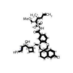 C=CC[C@@H](C)[C@H](COC)S(=O)(=O)NC(=O)c1ccc2c(c1)N(C[C@@H]1CC[C@H]1[C@@H](O)/C=C/CCC)C[C@@]1(CCCc3cc(Cl)ccc31)CO2